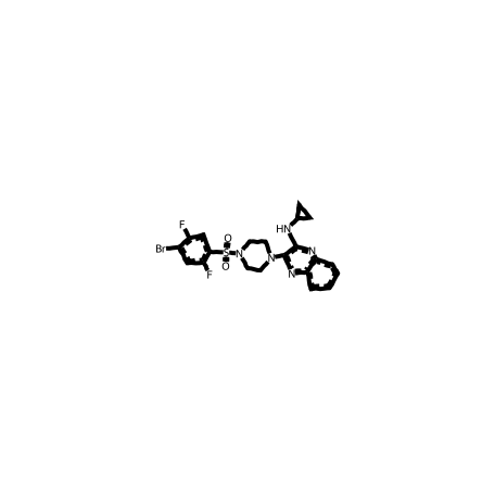 O=S(=O)(c1cc(F)c(Br)cc1F)N1CCN(c2nc3ccccc3nc2NC2CC2)CC1